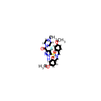 COc1ccc(CN(Cc2ccc(OC)cc2)S(=O)(=O)c2[nH]nc(C(=O)N3CCN(C)CC3)c2F)cc1